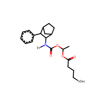 CCCCCCCCCCCCCC(=O)OC(C)OC(=O)N(CC)C1C2CCC(C2)C1c1ccccc1